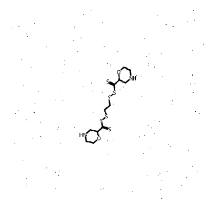 S=C(SSCCSSC(=S)C1CNCCO1)C1CNCCO1